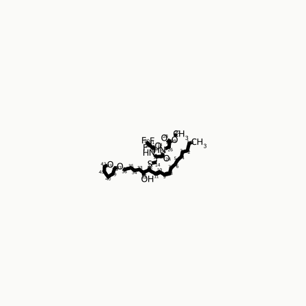 CCCCCCCC/C=C\C=C\C(SC[C@H](NC(=O)C(F)(F)F)C(=O)NCC(=O)OC)C(O)CCCCOC1CCCCO1